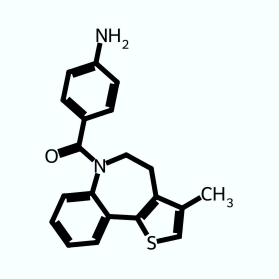 Cc1csc2c1CCN(C(=O)c1ccc(N)cc1)c1ccccc1-2